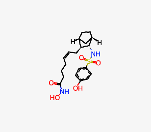 O=C(CCC/C=C\C[C@H]1[C@@H]2CC[C@@H](C2)[C@@H]1NS(=O)(=O)c1ccc(O)cc1)NO